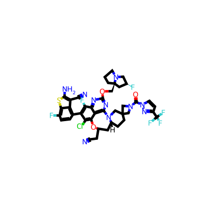 N#CCC1C[C@H]2CCC3(CN(C(=O)n4ccc(C(F)(F)F)n4)C3)CN2c2nc(OC[C@@]34CCCN3C[C@H](F)C4)nc3c(F)c(-c4ccc(F)c5sc(N)c(C#N)c45)c(Cl)c(c23)O1